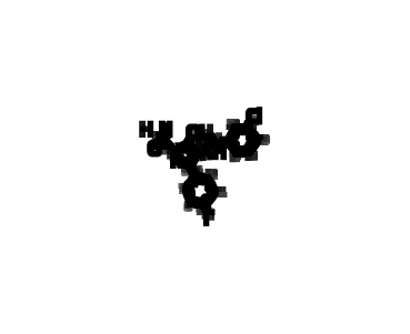 NC(=O)n1nc(-c2ccc(F)cc2)c(NNc2cccc(Cl)c2)c1O